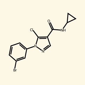 O=C(NC1CC1)c1cnn(-c2cccc(Br)c2)c1Cl